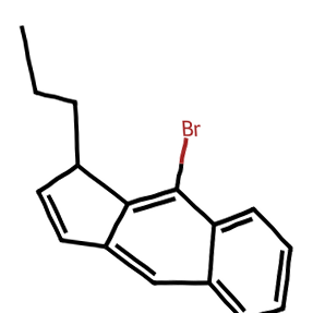 CCCC1C=Cc2cc3ccccc3c(Br)c21